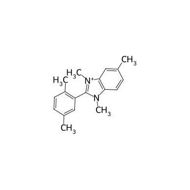 Cc1ccc(C)c(-c2n(C)c3ccc(C)cc3[n+]2C)c1